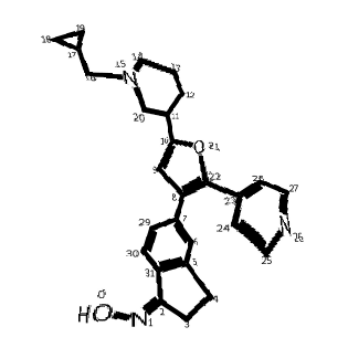 O/N=C1/CCc2cc(-c3cc(C4CCCN(CC5CC5)C4)oc3-c3ccncc3)ccc21